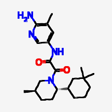 Cc1cc(NC(=O)C(=O)N2C[C@H](C)CC[C@H]2C2CCCC(C)(C)C2)cnc1N